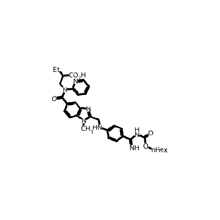 CCCCCCOC(=O)NC(=N)c1ccc(NCc2nc3cc(C(=O)N(CC(CC)C(=O)O)c4ccccn4)ccc3n2C)cc1